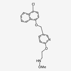 CONCCOc1ccc(COc2ccc(Cl)c3ccccc23)cn1